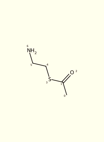 CC(=O)SCCN